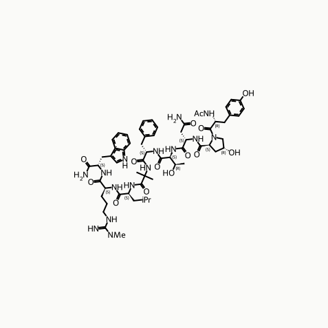 CNC(=N)NCCC[C@H](NC(=O)[C@H](CC(C)C)NC(=O)C(C)(C)NC(=O)[C@H](Cc1ccccc1)NC(=O)[C@@H](NC(=O)[C@H](CC(N)=O)NC(=O)[C@@H]1C[C@@H](O)CN1C(=O)[C@@H](Cc1ccc(O)cc1)NC(C)=O)[C@@H](C)O)C(=O)N[C@@H](Cc1c[nH]c2ccccc12)C(N)=O